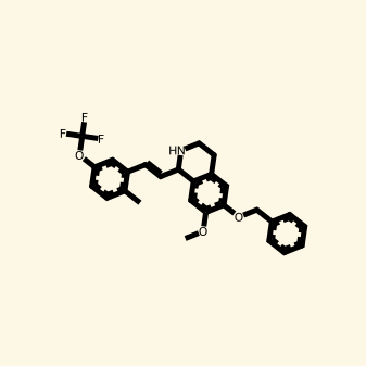 COc1cc2c(cc1OCc1ccccc1)CCNC2C=Cc1cc(OC(F)(F)F)ccc1C